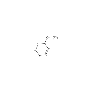 NOC1C=CCCC1